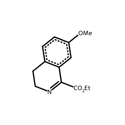 CCOC(=O)C1=NCCc2ccc(OC)cc21